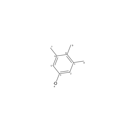 Cc1cc([O])cc(C)c1C